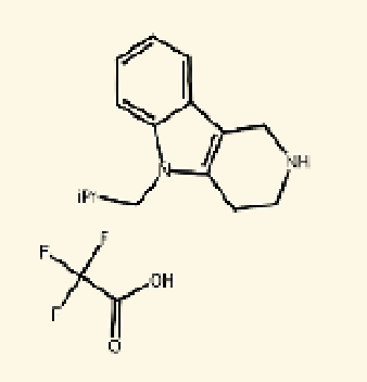 CC(C)Cn1c2c(c3ccccc31)CNCC2.O=C(O)C(F)(F)F